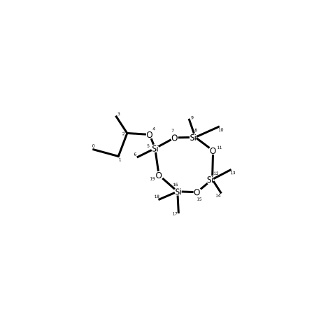 CCC(C)O[Si]1(C)O[Si](C)(C)O[Si](C)(C)O[Si](C)(C)O1